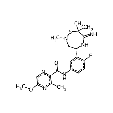 COc1cnc(C(=O)Nc2ccc(F)c([C@@H]3CN(C)SC(C)(C)C(=N)N3)c2)c(C)n1